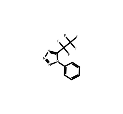 FC(F)(F)C(F)(F)c1nnnn1-c1ccccc1